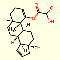 C[C@@]12CC=C[C@H]1[C@@H]1CC[C@@H]3CCC=C(OC(=O)C(O)O)[C@]3(C)[C@H]1CC2